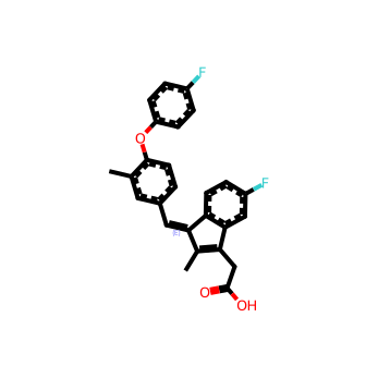 CC1=C(CC(=O)O)c2cc(F)ccc2/C1=C\c1ccc(Oc2ccc(F)cc2)c(C)c1